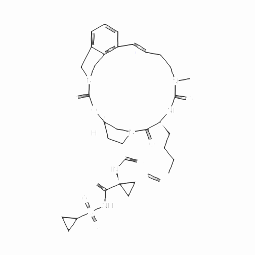 C=C[C@@H]1C[C@]1(NC(=O)[C@@H]1C[C@@H]2CN1C(=O)[C@H](CCCC)NC(=O)N(C)CC/C=C/c1cccc3c1CN(C3)C(=O)O2)C(=O)NS(=O)(=O)C1CC1